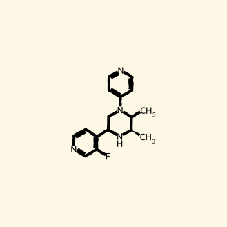 CC1[C@@H](C)NC(c2ccncc2F)CN1c1ccncc1